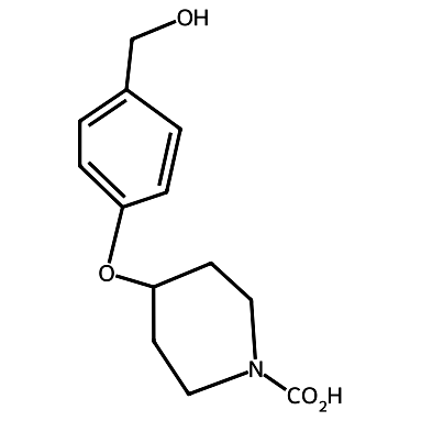 O=C(O)N1CCC(Oc2ccc(CO)cc2)CC1